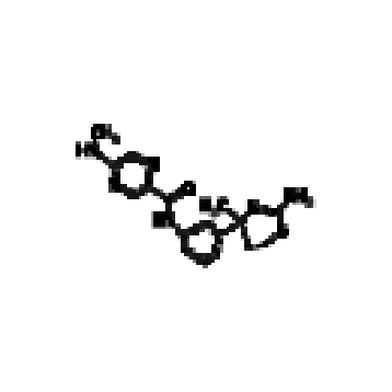 CNc1cnc(C(=O)Nc2cccc(C3(C)CCSC(N)=N3)c2)cn1